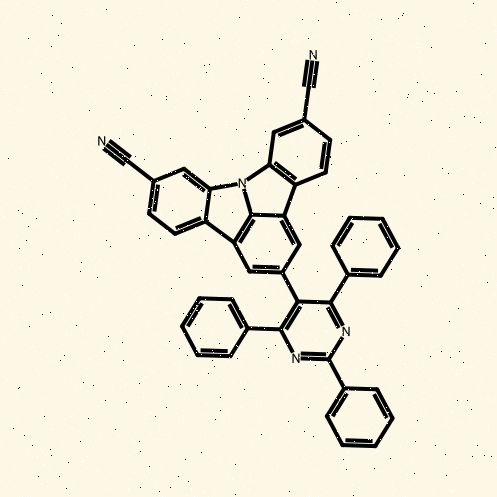 N#Cc1ccc2c3cc(-c4c(-c5ccccc5)nc(-c5ccccc5)nc4-c4ccccc4)cc4c5ccc(C#N)cc5n(c2c1)c34